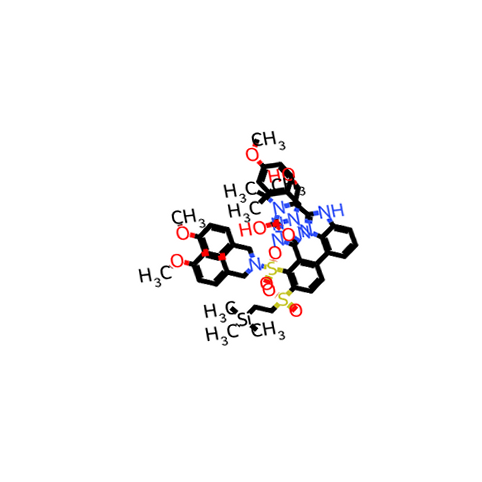 COc1ccc(CN(Cc2ccc(OC)cc2)S(=O)(=O)c2c(S(=O)(=O)CC[Si](C)(C)C)ccc(-c3cccc4[nH]c(C(CO)N(C(=O)O)C(C)(C)C)nc34)c2-c2nnn(Cc3ccc(OC)cc3)n2)cc1